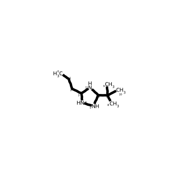 CCCC1NNC(C(C)(C)C)N1